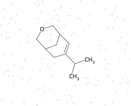 CC(C)C1=CC2COCC(C1)C2